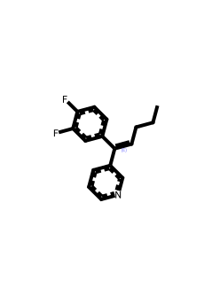 CCC/C=C(/c1cccnc1)c1ccc(F)c(F)c1